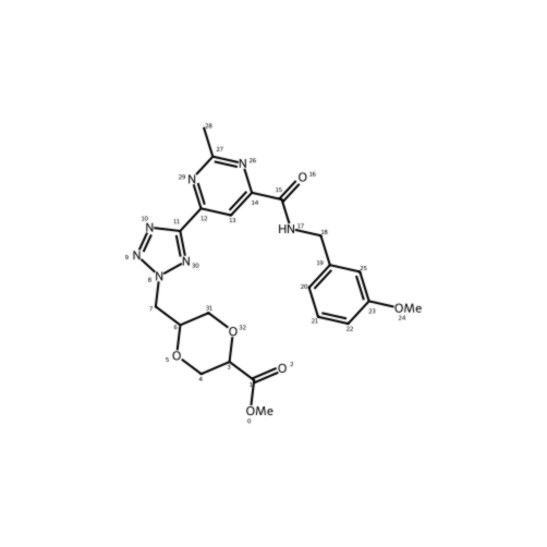 COC(=O)C1COC(Cn2nnc(-c3cc(C(=O)NCc4cccc(OC)c4)nc(C)n3)n2)CO1